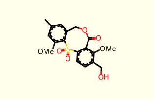 COc1cc(C)cc2c1S(=O)(=O)c1ccc(CO)c(OC)c1C(=O)OC2